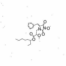 CCCCCC(CC)OC(=O)C(CN1C(=O)N(OC)C(=O)C1=Cc1ccccc1)OC